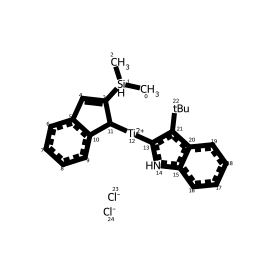 C[SiH](C)C1=Cc2ccccc2[CH]1[Ti+2][c]1[nH]c2ccccc2c1C(C)(C)C.[Cl-].[Cl-]